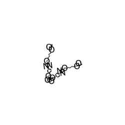 C=CC(=O)OCCCCCCOc1cnc(-c2ccc(CO[C@H]3OCCO[C@@H]3OCc3ccc(-c4ncc(OCCCCCCOC(=O)C=C)cn4)cc3)cc2)nc1